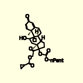 CCCCCOC(=O)O[C@]1(C(=O)COC(=O)C2CC2)CC[C@H]2[C@@H]3CCC4=CC(=O)C=C[C@]4(C)[C@@]3(Cl)C(O)C[C@@]21C